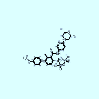 Cc1c(C(=O)Nc2ccc(N3C[C@@H](C)O[C@@H](C)C3)nc2)cccc1-c1ccc(OC(F)(F)F)cc1.O=P(O)(O)OP(=O)(O)O